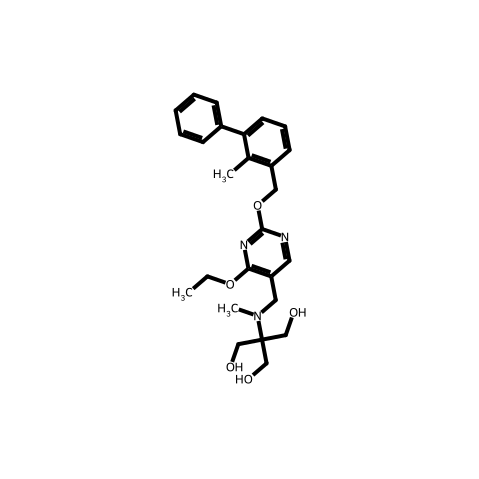 CCOc1nc(OCc2cccc(-c3ccccc3)c2C)ncc1CN(C)C(CO)(CO)CO